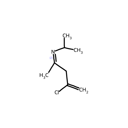 C=C(Cl)C/C(C)=N\C(C)C